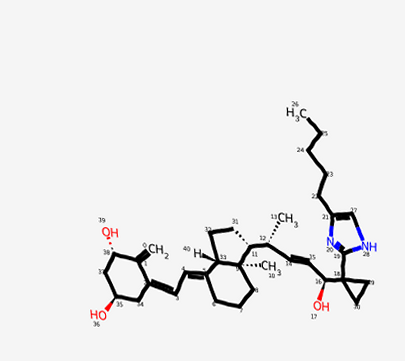 C=C1/C(=C\C=C2/CCC[C@]3(C)[C@@H]([C@H](C)C=C[C@H](O)C4(c5nc(CCCCC)c[nH]5)CC4)CC[C@@H]23)C[C@@H](O)C[C@@H]1O